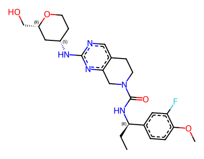 CC[C@@H](NC(=O)N1CCc2cnc(N[C@H]3CCO[C@@H](CO)C3)nc2C1)c1ccc(OC)c(F)c1